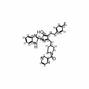 O=C(c1cnccn1)N1CCC(Cc2nn(-c3nc4ccccc4[nH]3)c(O)c2CCc2ccc(F)cc2)CC1